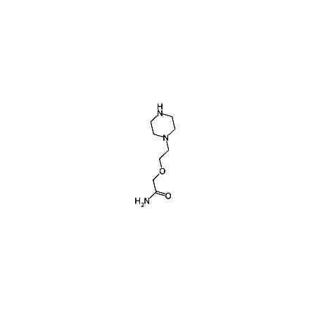 NC(=O)COCCN1CCNCC1